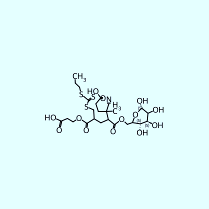 CCCSC(=S)SCC(CC(C(=O)OCC1O[C@H](O)C(O)[C@@H](O)[C@@H]1O)C(C)(C#N)CCC(=O)O)C(=O)OCCC(=O)O